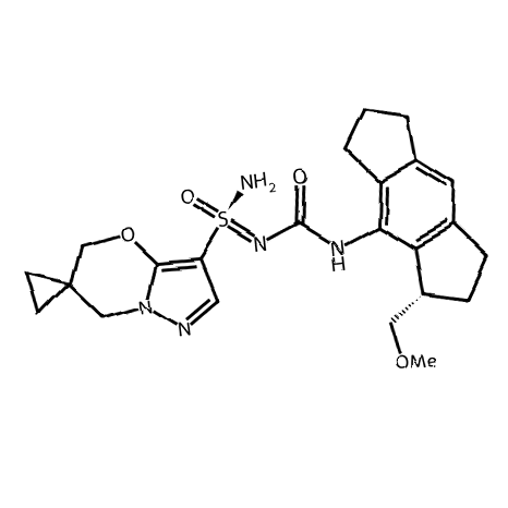 COC[C@H]1CCc2cc3c(c(NC(=O)N=[S@@](N)(=O)c4cnn5c4OCC4(CC4)C5)c21)CCC3